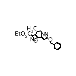 CCOC(=O)c1noc2c1C(C)Cn1nc(OCc3ccccc3)cc1-2